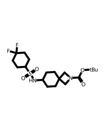 CC(C)(C)OC(=O)N1CC2(CCC(NS(=O)(=O)C3CCC(F)(F)CC3)CC2)C1